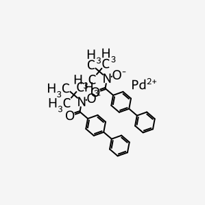 CC(C)(C)N([O-])C(=O)c1ccc(-c2ccccc2)cc1.CC(C)(C)N([O-])C(=O)c1ccc(-c2ccccc2)cc1.[Pd+2]